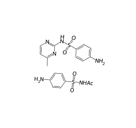 CC(=O)NS(=O)(=O)c1ccc(N)cc1.Cc1ccnc(NS(=O)(=O)c2ccc(N)cc2)n1